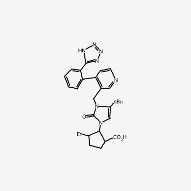 CCCCc1cn(C2C(CC)CCC2C(=O)O)c(=O)n1Cc1cnccc1-c1ccccc1-c1nnn[nH]1